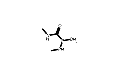 BP(PC)C(=O)NC